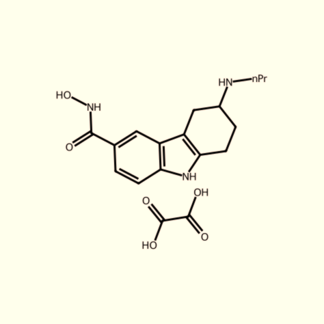 CCCNC1CCc2[nH]c3ccc(C(=O)NO)cc3c2C1.O=C(O)C(=O)O